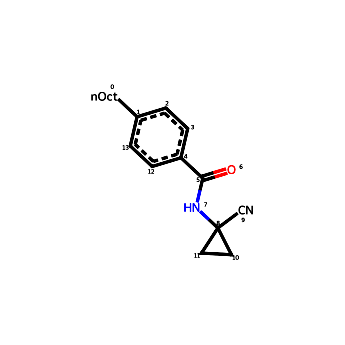 CCCCCCCCc1ccc(C(=O)NC2(C#N)CC2)cc1